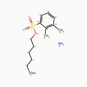 CCCCCCCCCCCCCCCOS(=O)(=O)c1cccc(C)c1C.N